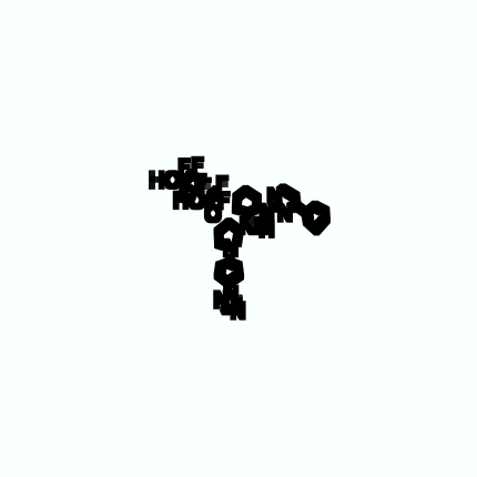 O=C(O)C(F)(F)F.O=C(O)C(F)(F)F.c1ccc(-c2ccnc(N[C@@H]3CCCC[C@H]3N[C@H]3CCCN(c4ccc(-n5cncn5)cc4)C3)n2)cc1